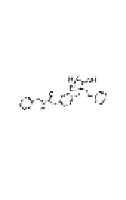 CCC(CCc1ccccc1)(Cc1ccc(CC(=O)NCc2ccccc2)cc1)C(C)=N